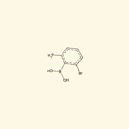 OB(O)c1c(P)cccc1Br